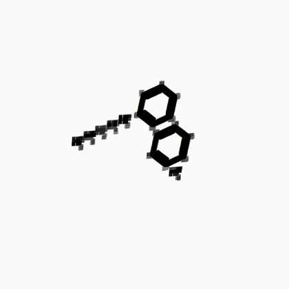 F.F.F.F.F.F.c1ccccc1.c1ccccc1